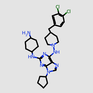 NC1CCC(Nc2nc(NN3CCC(Cc4ccc(Cl)c(Cl)c4)CC3)c3ncn(C4CCCC4)c3n2)CC1